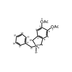 CC(=O)Oc1cc2c(cc1OC(C)=O)C[N+](C)(Cc1ccccc1)C2